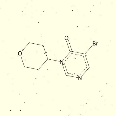 O=c1c(Br)cncn1C1CCOCC1